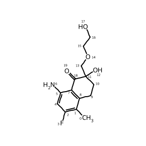 Cc1c(F)cc(N)c2c1CCC(O)(COCCO)C2=O